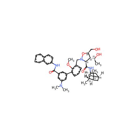 COc1c(CN2O[C@@H](CO)[C@H]([C@H](C)O)[C@H]2C(=O)N[C@H]2C[C@H]3C[C@@H]([C@@H]2C)C3(C)C)cccc1-c1cc(C(=O)Nc2ccc3ccccc3c2)cc(N(C)C)c1